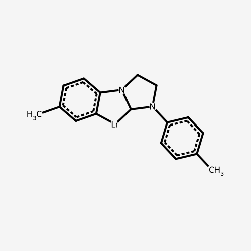 Cc1ccc(N2CCN3c4ccc(C)c[c]4[Lr][CH]23)cc1